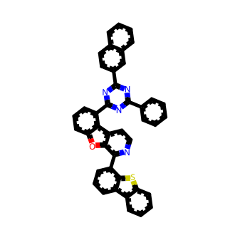 c1ccc(-c2nc(-c3ccc4ccccc4c3)nc(-c3cccc4oc5c(-c6cccc7c6sc6ccccc67)nccc5c34)n2)cc1